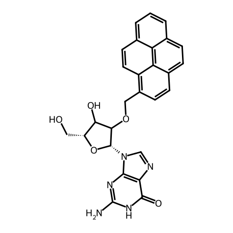 Nc1nc2c(ncn2[C@@H]2O[C@H](CO)C(O)C2OCc2ccc3ccc4cccc5ccc2c3c45)c(=O)[nH]1